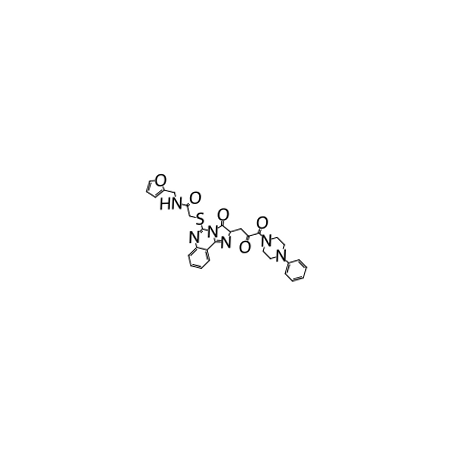 O=C(CSC1=Nc2ccccc2C2=NC(CC(=O)C(=O)N3CCN(c4ccccc4)CC3)C(=O)N12)NCc1ccco1